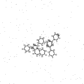 c1ccc(-c2nc(-c3ccncc3)nc(-c3cccc(-c4nn(-c5ccccc5)c5ccc6ccccc6c45)c3)n2)cc1